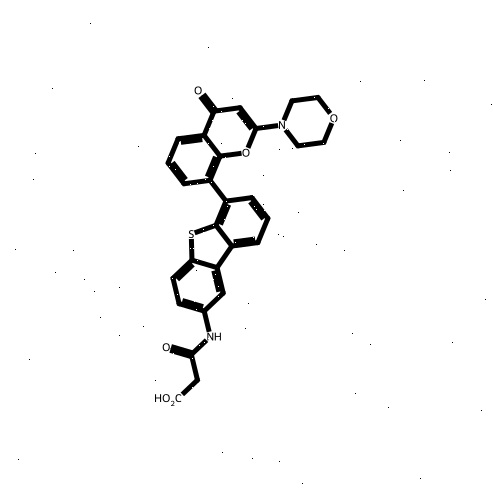 O=C(O)CC(=O)Nc1ccc2sc3c(-c4cccc5c(=O)cc(N6CCOCC6)oc45)cccc3c2c1